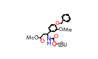 COC(=O)CC(NC(=O)OC(C)(C)C)c1ccc(OCc2ccccc2)c(OC)c1